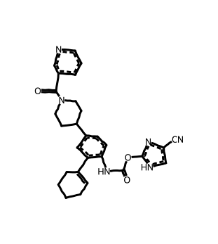 N#Cc1c[nH]c(OC(=O)Nc2ccc(C3CCN(C(=O)c4cccnc4)CC3)cc2C2=CCCCC2)n1